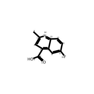 Cc1cc(C(=O)O)c2cc(F)ccc2n1